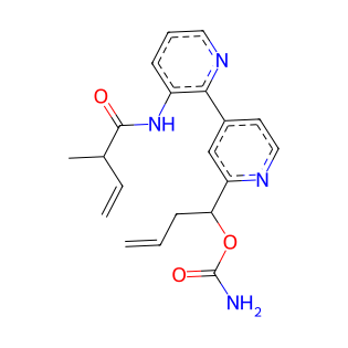 C=CCC(OC(N)=O)c1cc(-c2ncccc2NC(=O)C(C)C=C)ccn1